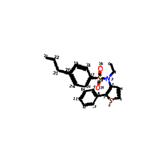 [CH2]CN(c1ccsc1-c1ccccc1)S(=O)(=O)c1ccc(CCC)cc1